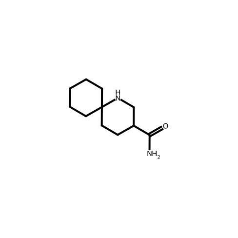 NC(=O)C1CCC2(CCCCC2)NC1